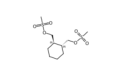 CS(=O)(=O)OC[C@@H]1CCCC[C@H]1COS(C)(=O)=O